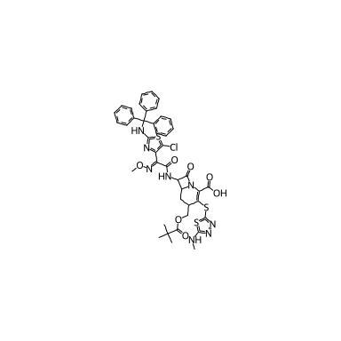 CNc1nnc(SC2=C(C(=O)O)N3C(=O)C(NC(=O)C(=NOC)c4nc(NC(c5ccccc5)(c5ccccc5)c5ccccc5)sc4Cl)C3CC2COC(=O)C(C)(C)C)s1